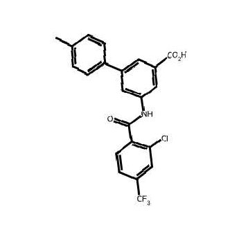 Cc1ccc(-c2cc(NC(=O)c3ccc(C(F)(F)F)cc3Cl)cc(C(=O)O)c2)cc1